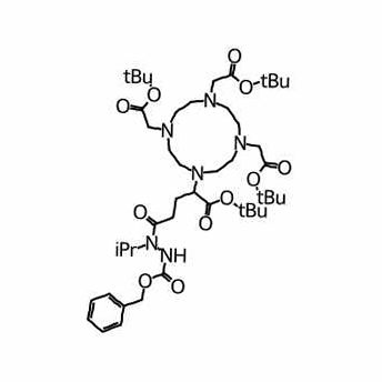 CC(C)N(NC(=O)OCc1ccccc1)C(=O)CCC(C(=O)OC(C)(C)C)N1CCN(CC(=O)OC(C)(C)C)CCN(CC(=O)OC(C)(C)C)CCN(CC(=O)OC(C)(C)C)CC1